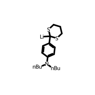 [Li][C]1(c2ccc(N(CCCC)CCCC)cc2)SCCCS1